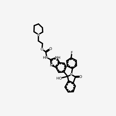 O=C(Nc1nc2cc(C3(O)c4ccccc4C(=O)N3c3ccc(F)cc3)ccc2[nH]1)OCCN1CCCCC1